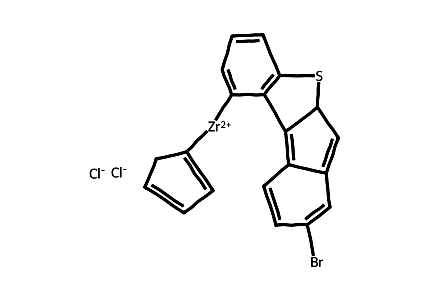 Brc1ccc2c(c1)=CC1Sc3ccc[c]([Zr+2][C]4=CC=CC4)c3C=21.[Cl-].[Cl-]